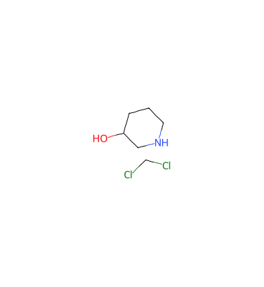 ClCCl.OC1CCCNC1